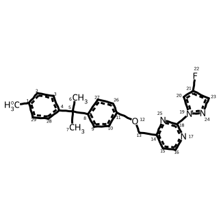 Cc1ccc(C(C)(C)c2ccc(OCc3ccnc(-n4cc(F)cn4)n3)cc2)cc1